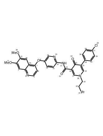 COc1cc2nccc(Oc3ccc(NC(=O)c4cn(CCC(C)C)cc(-c5ccc(Cl)cc5)c4=O)nc3)c2cc1OC